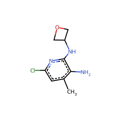 Cc1cc(Cl)nc(NC2COC2)c1N